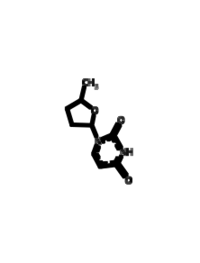 CC1CCC(n2ccc(=O)[nH]c2=O)O1